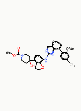 COc1cc(C(F)(F)F)ccc1-c1cccc2cnc(Nc3ccc(C4(O)CCN(C(=O)OC(C)(C)C)CC4)c4c3OCC4)nc12